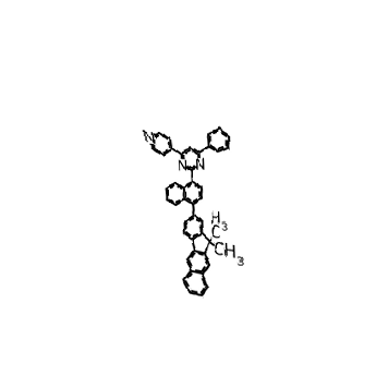 CC1(C)c2cc(-c3ccc(-c4nc(-c5ccccc5)cc(-c5ccncc5)n4)c4ccccc34)ccc2-c2cc3ccccc3cc21